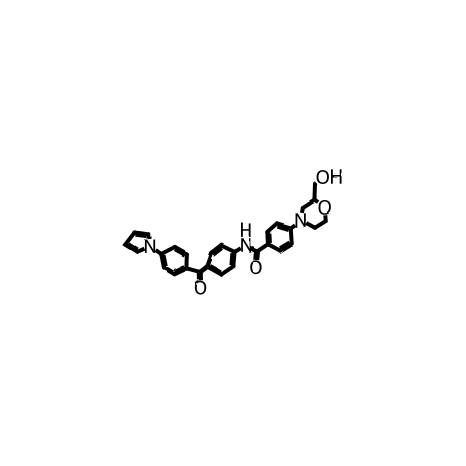 O=C(Nc1ccc(C(=O)c2ccc(-n3cccc3)cc2)cc1)c1ccc(N2CCOC(CO)C2)cc1